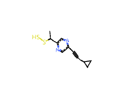 CC(SS)c1cnc(C#CC2CC2)cn1